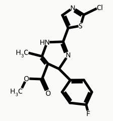 COC(=O)C1=C(C)NC(c2cnc(Cl)s2)=NC1c1ccc(F)cc1